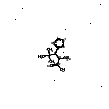 CC(C)(C)C(c1cscn1)C(N)C(=O)O